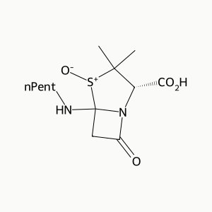 CCCCCNC12CC(=O)N1[C@@H](C(=O)O)C(C)(C)[S+]2[O-]